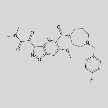 COc1cc2onc(C(=O)C(=O)N(C)C)c2nc1C(=O)N1CCCN(Cc2ccc(F)cc2)CC1